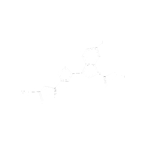 COC(=O)CC(=O)c1cc(-c2cn(C(=O)OC(C)(C)C)c3cc(F)ccc23)cs1